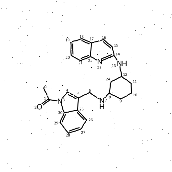 CC(=O)n1cc(CNC2CCCC(Nc3ccc4ccccc4n3)C2)c2ccccc21